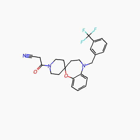 N#CCC(=O)N1CCC2(CC1)CCN(Cc1cccc(C(F)(F)F)c1)c1ccccc1O2